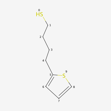 SCCCCc1cccs1